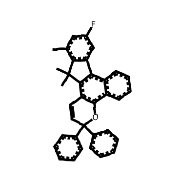 Cc1cc(F)cc2c1C(C)(C)c1c3c(c4ccccc4c1-2)OC(c1ccccc1)(c1ccccc1)C=C3